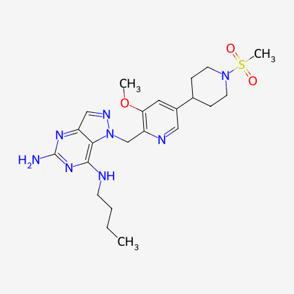 CCCCNc1nc(N)nc2cnn(Cc3ncc(C4CCN(S(C)(=O)=O)CC4)cc3OC)c12